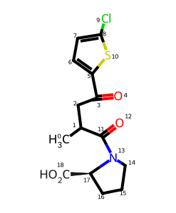 CC(CC(=O)c1ccc(Cl)s1)C(=O)N1CCC[C@H]1C(=O)O